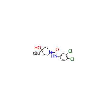 CC(C)(C)C1(O)CCN(C(=O)Nc2ccc(Cl)c(Cl)c2)CC1